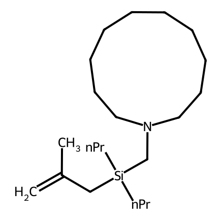 C=C(C)C[Si](CCC)(CCC)CN1CCCCCCCCCC1